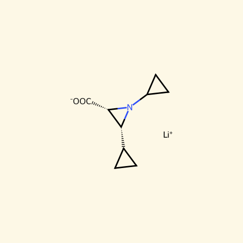 O=C([O-])[C@H]1[C@@H](C2CC2)N1C1CC1.[Li+]